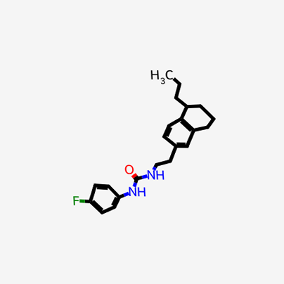 CCCC1CCCc2cc(CCNC(=O)Nc3ccc(F)cc3)ccc21